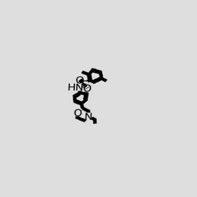 CCN1CCOC(c2ccc(NS(=O)(=O)c3cc(C)ccc3C)cc2)C1